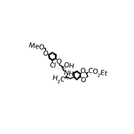 CCOC(=O)C1COc2cc(C[C@@H](C)NC[C@H](O)COc3ccc(OCOC)cc3Cl)ccc2O1